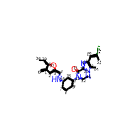 C=c1cc(CN[C@@H]2CCC[C@H](N(CC)C(=O)c3nc(/C=C(\C)F)c(C)[nH]3)C2)o/c1=C/C